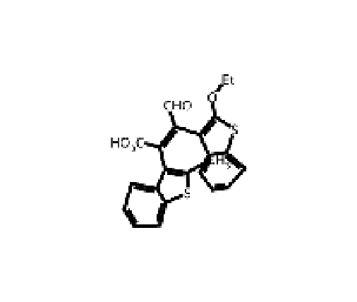 CCOc1sc2ccccc2c1/C(C=O)=C(/C(=O)O)c1c(C)sc2ccccc12